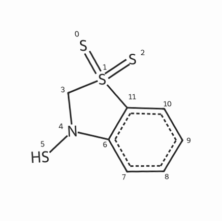 S=S1(=S)CN(S)c2ccccc21